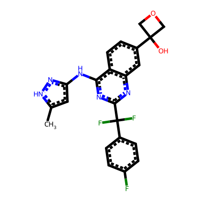 Cc1cc(Nc2nc(C(F)(F)c3ccc(F)cc3)nc3cc(C4(O)COC4)ccc23)n[nH]1